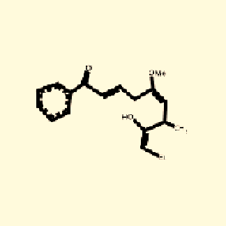 CC/C=C(/O)C(C)/C=C(\C/C=C/C(=O)c1ccccc1)OC